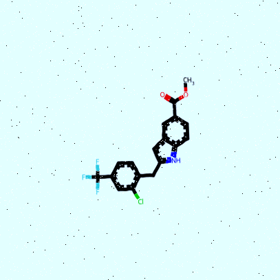 COC(=O)c1ccc2[nH]c(Cc3ccc(C(F)(F)F)cc3Cl)cc2c1